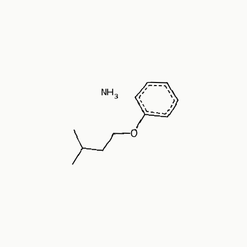 CC(C)CCOc1ccccc1.N